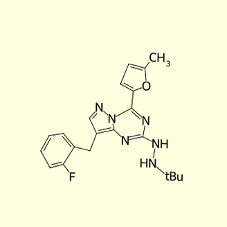 Cc1ccc(-c2nc(NNC(C)(C)C)nc3c(Cc4ccccc4F)cnn23)o1